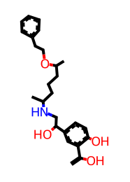 C=C(O)c1cc(C(O)CNC(C)CCCC(C)OCCc2ccccc2)ccc1O